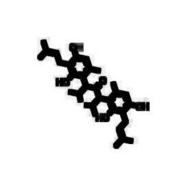 CC(C)=CCc1c(O)cc(C)c(C(C(=O)C(c2c(C)cc(O)c(CC=C(C)C)c2O)C(C)C)C(C)C)c1O